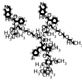 CNCCOCCOCCOCCN(C[C@@H](C(=O)Nc1ccc2cnccc2c1)c1ccccc1)C(=O)OC(C)(C)C.COC[C@H]1CN(C(=O)OC(C)(C)C)[C@H](C)CN1CC(=O)N1CC(C)(C)c2nc(CN(C)CCOCCOCCOCCN(C[C@@H](C(=O)Nc3ccc4cnccc4c3)c3ccccc3)C(=O)OC(C)(C)C)c(Cc3ccc(F)cc3)cc21